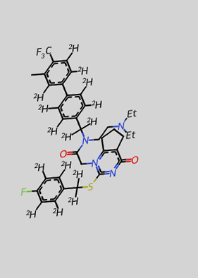 [2H]c1c([2H])c(C([2H])([2H])Sc2nc(=O)c3c(n2CC(=O)N(CCN(CC)CC)C([2H])([2H])c2c([2H])c([2H])c(-c4c([2H])c([2H])c(C(F)(F)F)c(C)c4[2H])c([2H])c2[2H])CCC3)c([2H])c([2H])c1F